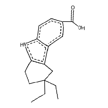 CCC1(CC)CCc2[nH]c3ccc(C(=O)O)cc3c2C1